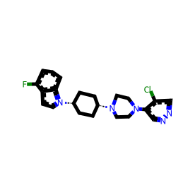 Fc1cccc2c1ccn2[C@H]1CC[C@@H](N2CCN(c3cnncc3Cl)CC2)CC1